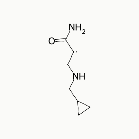 NC(=O)[CH]CNCC1CC1